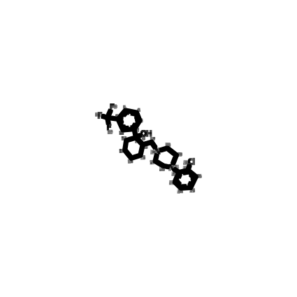 OC1(c2cccc(C(F)(F)F)c2)CCCCC1CN1CCN(c2ccccc2Cl)CC1